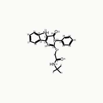 CC(C)(C)NC(=O)CSc1nc2c([nH]c3ccccc32)c(=O)n1-c1ccccc1